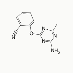 Cc1nc(N)nc(Oc2ccccc2C#N)n1